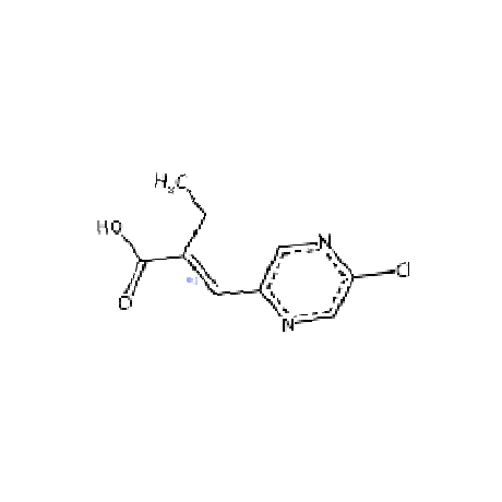 CC/C(=C\c1cnc(Cl)cn1)C(=O)O